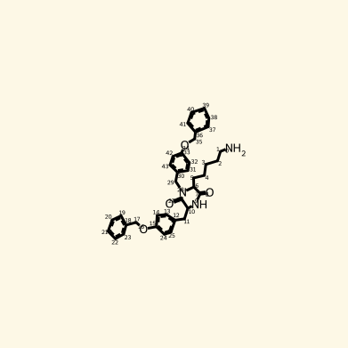 NCCCCCC1C(=O)NC(Cc2ccc(OCc3ccccc3)cc2)C(=O)N1Cc1ccc(OCc2ccccc2)cc1